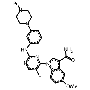 COc1ccc2c(c1)c(C(N)=O)cn2-c1nc(Nc2cccc(N3CCN(C(C)C)CC3)c2)ncc1F